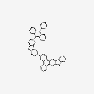 c1ccc(-c2c3ccccc3c(-c3ccc4sc5ccc(-c6ccc7c(c6)c6ccccc6c6cc8sc9ccccc9c8cc76)cc5c4c3)c3ccccc23)cc1